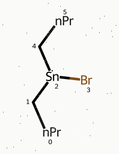 CCC[CH2][Sn]([Br])[CH2]CCC